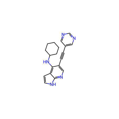 C(#Cc1cnc2[nH]ccc2c1NC1CCCCC1)c1cncnc1